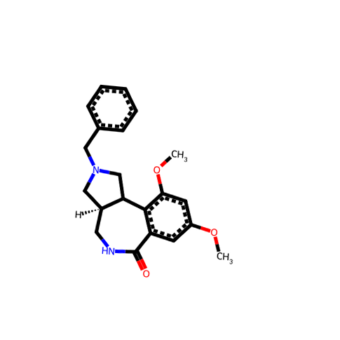 COc1cc(OC)c2c(c1)C(=O)NC[C@H]1CN(Cc3ccccc3)CC21